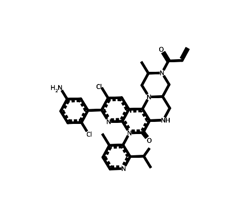 C=CC(=O)N1CC2CNc3c(c4cc(Cl)c(-c5cc(N)ccc5Cl)nc4n(-c4c(C)ccnc4C(C)C)c3=O)N2CC1C